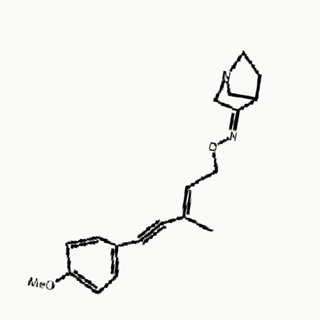 COc1ccc(C#C/C(C)=C/CO/N=C2\CN3CCC2C3)cc1